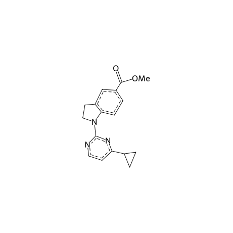 COC(=O)c1ccc2c(c1)CCN2c1nccc(C2CC2)n1